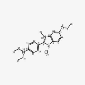 CCOc1ccc2sc(-c3ccc(N(CC)CC)cc3)[n+](C)c2c1.[Cl-]